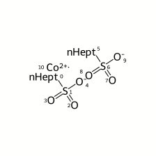 CCCCCCCS(=O)(=O)[O-].CCCCCCCS(=O)(=O)[O-].[Co+2]